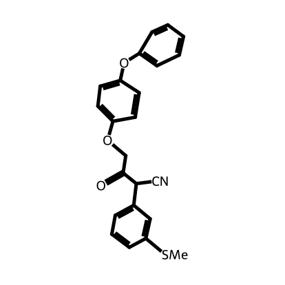 CSc1cccc(C(C#N)C(=O)COc2ccc(Oc3ccccc3)cc2)c1